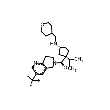 CC(C)[C@]1(C(=O)N2CCc3ncc(C(F)(F)F)cc3C2)CC[C@@H](NCC2CCOCC2)C1